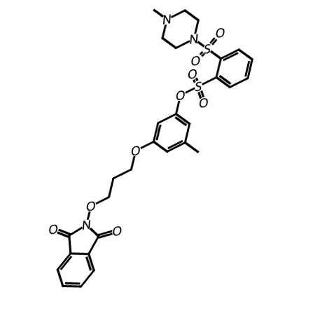 Cc1cc(OCCCON2C(=O)c3ccccc3C2=O)cc(OS(=O)(=O)c2ccccc2S(=O)(=O)N2CCN(C)CC2)c1